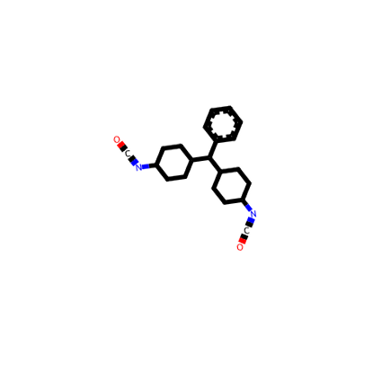 O=C=NC1CCC(C(c2cc[c]cc2)C2CCC(N=C=O)CC2)CC1